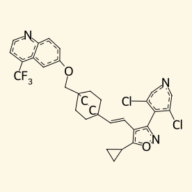 FC(F)(F)c1ccnc2ccc(OCC34CCC(/C=C/c5c(-c6c(Cl)cncc6Cl)noc5C5CC5)(CC3)CC4)cc12